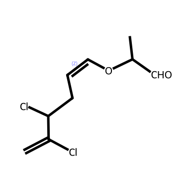 C=C(Cl)C(Cl)C/C=C\OC(C)C=O